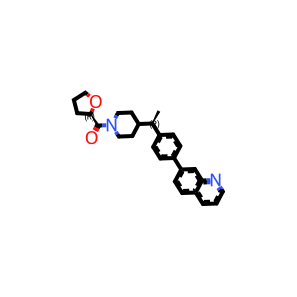 C[C@@H](c1ccc(-c2ccc3cccnc3c2)cc1)C1CCN(C(=O)[C@H]2CCCO2)CC1